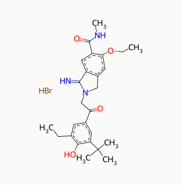 Br.CCOc1cc2c(cc1C(=O)NC)C(=N)N(CC(=O)c1cc(CC)c(O)c(C(C)(C)C)c1)C2